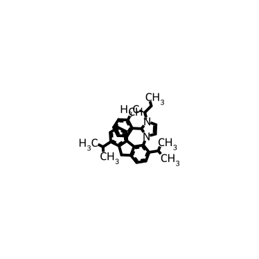 CC[C@H](C)N1C=CN(c2c(C(C)C)ccc3c2-c2cccc(C(C)C)c2C3)C1c1ccccc1C